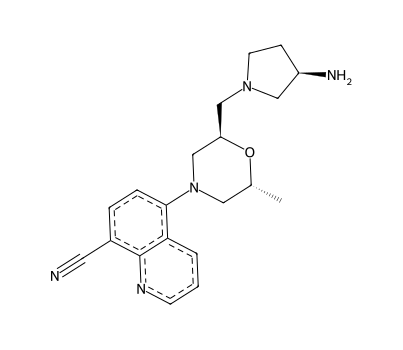 C[C@@H]1CN(c2ccc(C#N)c3ncccc23)C[C@@H](CN2CC[C@@H](N)C2)O1